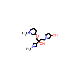 CN1CCCC(OCC(O)(CCN2CCC(O)C2)C2CN(C)C2)C1